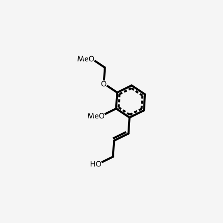 COCOc1cccc(C=CCO)c1OC